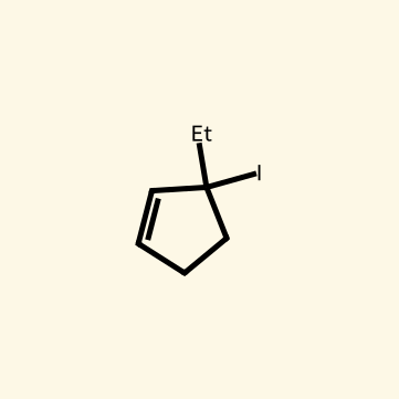 CCC1(I)C=CCC1